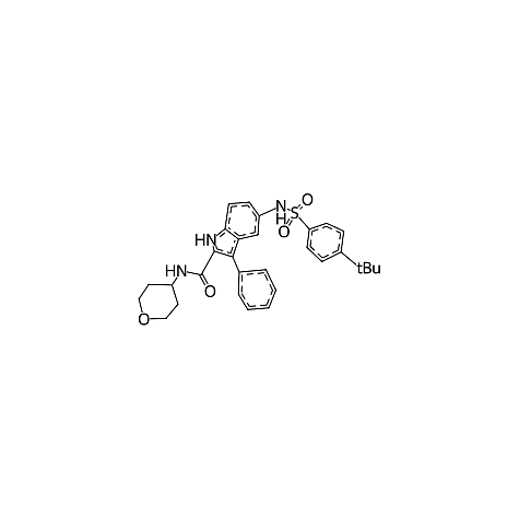 CC(C)(C)c1ccc(S(=O)(=O)Nc2ccc3[nH]c(C(=O)NC4CCOCC4)c(-c4ccccc4)c3c2)cc1